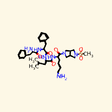 CC(C)CC(NC(=O)C(Cc1ccccc1)NC(=O)C(N)Cc1ccccc1)C(=O)NC(CCCCN)C(=O)N1CC2CN(S(C)(=O)=O)CC2C1